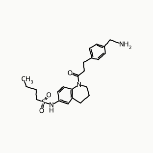 CCCCS(=O)(=O)Nc1ccc2c(c1)CCCN2C(=O)CCc1ccc(CN)cc1